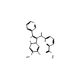 COC(=O)c1cccc(C(O)C2=C(c3cccnc3)NC3C=C(OC)C(C)=CC23)n1